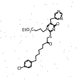 CCOC(=O)CCCn1cc(Cc2cncnc2)c(=O)nc1SCC(=O)CCCCCCc1ccc(Cl)cc1